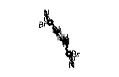 CN(C)CCOc1ccc(CCn2cc(CNCc3cn(CCc4ccc(OCCN(C)C)c(Br)c4)nn3)nn2)cc1Br